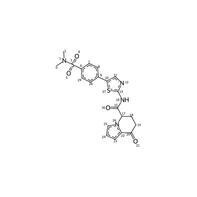 CN(C)S(=O)(=O)c1ccc(-c2cnc(NC(=O)C3CCC(=O)c4cccn43)s2)cc1